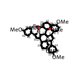 COc1ccc(C2=CC(c3ccc(OC)cc3)=N/C2=C(/c2c(OC)cccc2OC)c2c(-c3ccc(OC)cc3)cc(-c3ccc(OC)cc3)n2B(F)F)cc1